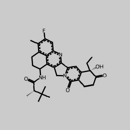 CC[C@@]1(O)C(=O)CCc2c1cc1n(c2=O)Cc2c-1nc1cc(F)c(C)c3c1c2C(NC(=O)[C@@H](C)C(C)(C)C)CC3